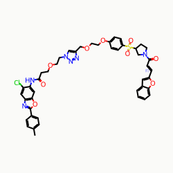 Cc1ccc(-c2nc3cc(Cl)c(NC(=O)CCOCCn4cc(COCCOc5ccc(S(=O)(=O)C6CCN(C(=O)/C=C/c7cc8ccccc8o7)C6)cc5)nn4)cc3o2)cc1